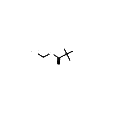 CC(C)C(C)(C)C(=O)NCC#N